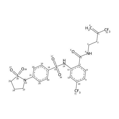 C=C(CCNC(=O)c1ccc(C(F)(F)F)cc1NS(=O)(=O)c1ccc(N2CCCS2(=O)=O)cc1)C(F)(F)F